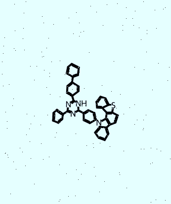 c1ccc(C2=NC(c3ccc(-n4c5ccccc5c5ccc6sc7ccccc7c6c54)cc3)NC(c3ccc(-c4ccccc4)cc3)=N2)cc1